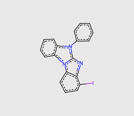 Ic1cccc2c1nc1n(-c3ccccc3)c3ccccc3n21